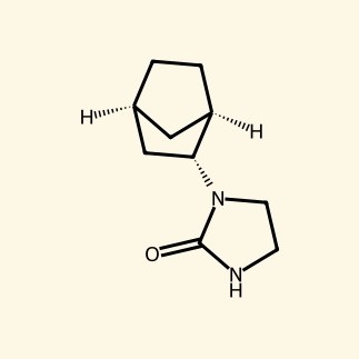 O=C1NCCN1[C@@H]1C[C@H]2CC[C@@H]1C2